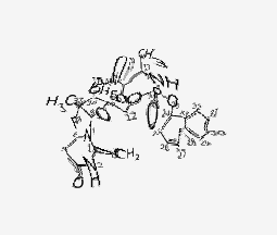 C=C1NC(=O)C=CN1[C@@H]1O[C@](F)(COP(=O)(NC(C)C(=O)OC(C)C)Oc2cccc3ccccc23)[C@@H](O)[C@@]1(C)F